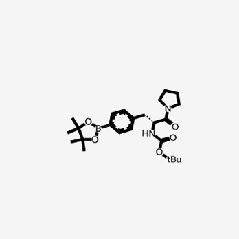 CC(C)(C)OC(=O)N[C@H](Cc1ccc(B2OC(C)(C)C(C)(C)O2)cc1)C(=O)N1CCCC1